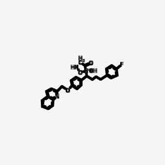 CC(=O)[N+](O)(O[NH])C(CCCc1ccc(F)cc1)c1ccc(OCc2ccc3ccccc3n2)cc1